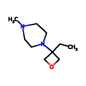 CCC1(N2CCN(C)CC2)COC1